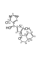 Cc1sc([C@@H](O)c2cncnc2Cl)cc1[C@@H]1OCCc2ccccc21